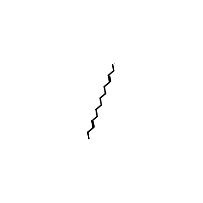 [CH2]CC=CCCCCCCC=CCC